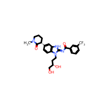 CN1CCC[C@H](c2ccc3c(c2)[nH]/c(=N\C(=O)c2cccc(C(F)(F)F)c2)n3CC[C@H](O)CO)C1=O